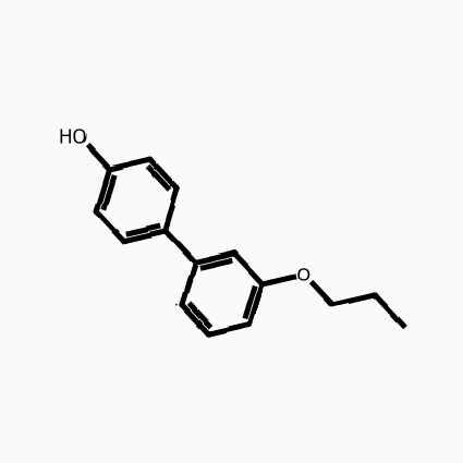 CCCOc1cc[c]c(-c2ccc(O)cc2)c1